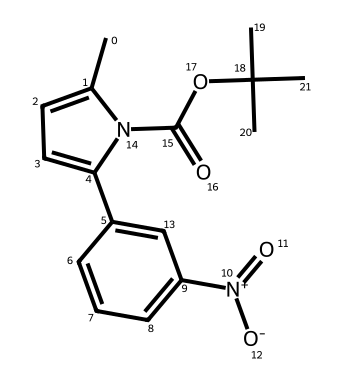 Cc1ccc(-c2cccc([N+](=O)[O-])c2)n1C(=O)OC(C)(C)C